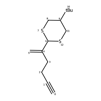 C#CCCC(=C)C1SCC(C(C)(C)C)CS1